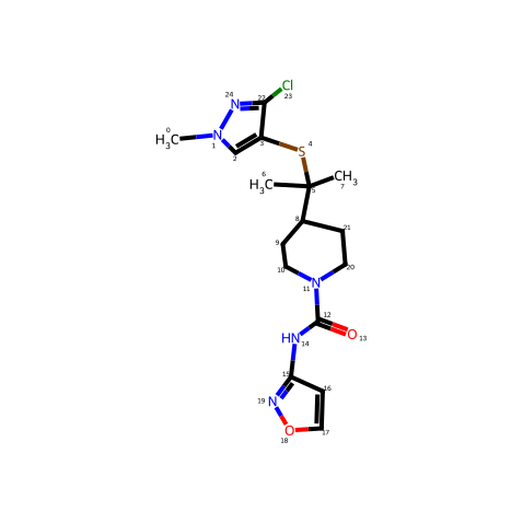 Cn1cc(SC(C)(C)C2CCN(C(=O)Nc3ccon3)CC2)c(Cl)n1